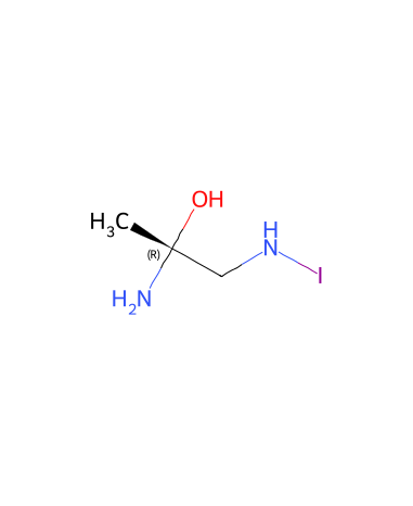 C[C@@](N)(O)CNI